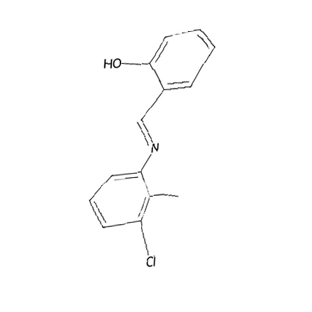 Cc1c(Cl)cccc1N=Cc1ccccc1O